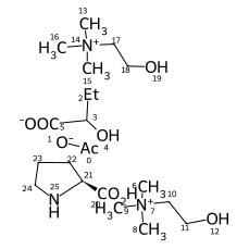 CC(=O)[O-].CCC(O)C(=O)[O-].C[N+](C)(C)CCO.C[N+](C)(C)CCO.O=C(O)[C@@H]1CCCN1